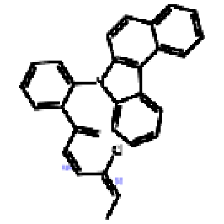 C=C(/C=C\C(Cl)=C/C)c1ccccc1-n1c2ccccc2c2c3ccccc3ccc21